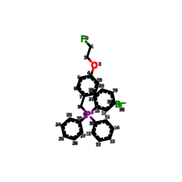 FCCOc1ccc(C[P+](c2ccccc2)(c2ccccc2)c2ccccc2)cc1.[Br-]